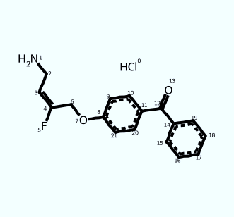 Cl.NC/C=C(/F)COc1ccc(C(=O)c2ccccc2)cc1